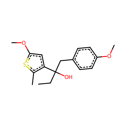 CCC(O)(Cc1ccc(OC)cc1)c1cc(OC)sc1C